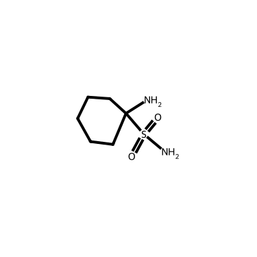 NC1(S(N)(=O)=O)CCCCC1